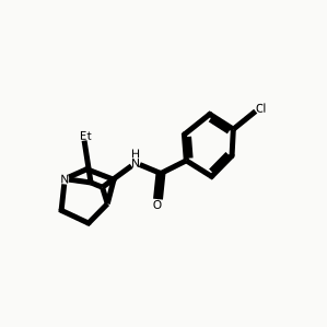 CCC1C(NC(=O)c2ccc(Cl)cc2)C2CCN1CC2